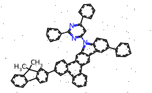 CC1(C)c2ccccc2-c2ccc(-c3ccc4c(c3)c3ccccc3c3cc5c6cc(-c7ccccc7)ccc6n(-c6cc(-c7ccccc7)nc(-c7ccccc7)n6)c5cc43)cc21